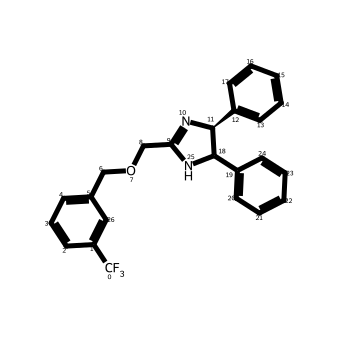 FC(F)(F)c1cccc(COCC2=N[C@@H](c3ccccc3)C(c3ccccc3)N2)c1